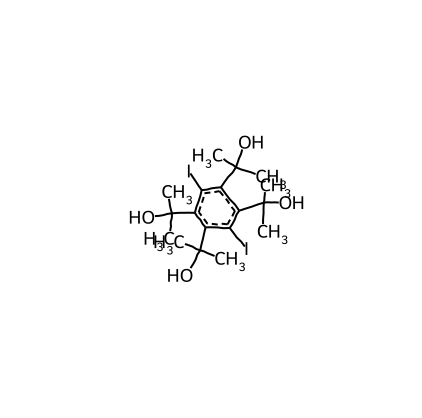 CC(C)(O)c1c(I)c(C(C)(C)O)c(C(C)(C)O)c(I)c1C(C)(C)O